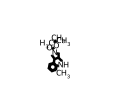 Cc1cccc2c1NCC1CN(C(=O)OC(C)(C)C)CC21